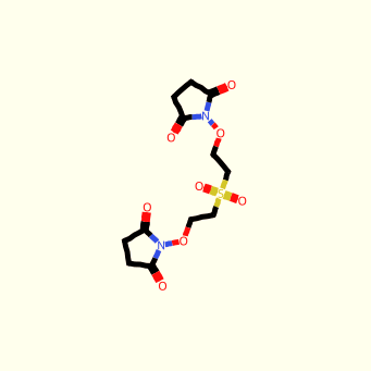 O=C1CCC(=O)N1OCCS(=O)(=O)CCON1C(=O)CCC1=O